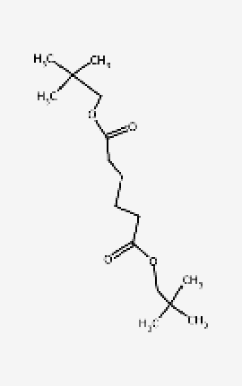 CC(C)(C)COC(=O)CCCCC(=O)OCC(C)(C)C